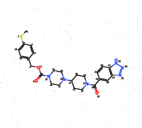 CSc1ccc(COC(=O)N2CCN(C3CCN(C(=O)c4ccc5[nH]nnc5c4)CC3)CC2)cc1